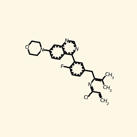 C=C/C(Cl)=N\C(Cc1ccc(F)c(-c2ncnc3cc(N4CCOCC4)ccc23)c1)=C(C)C